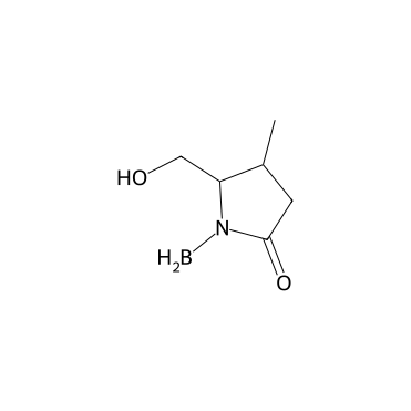 BN1C(=O)CC(C)C1CO